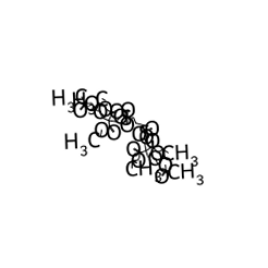 CCOC(=O)C(COCOC(C)=O)(COS(=O)(=O)CCCS(=O)(=O)OCC(COCOC(C)=O)(C(=O)OCC)C(=O)OCC)C(=O)OCC